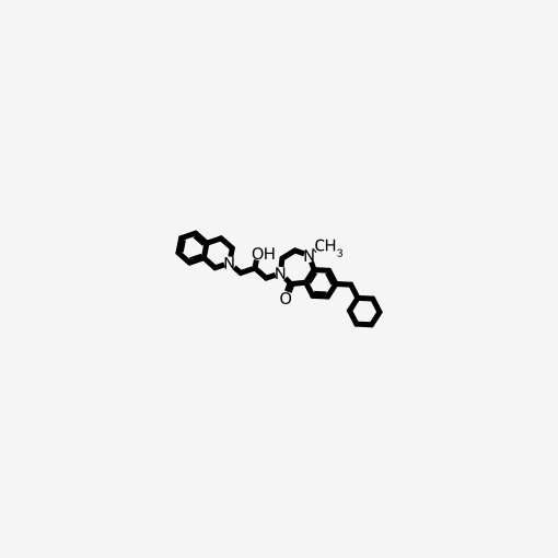 CN1CCN(CC(O)CN2CCc3ccccc3C2)C(=O)c2ccc(CC3CCCCC3)cc21